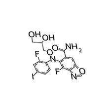 NC(=O)c1cc2ocnc2c(F)c1N(OCC(O)CO)c1ccc(I)cc1F